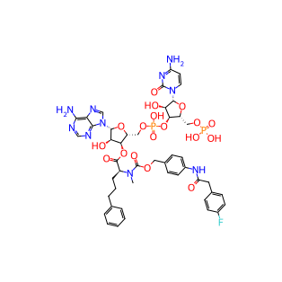 CN(C(=O)OCc1ccc(NC(=O)Cc2ccc(F)cc2)cc1)[C@@H](CCCc1ccccc1)C(=O)O[C@H]1[C@@H](O)[C@H](n2cnc3c(N)ncnc32)O[C@@H]1COP(=O)(O)O[C@H]1[C@@H](O)[C@H](n2ccc(N)nc2=O)O[C@@H]1COP(=O)(O)O